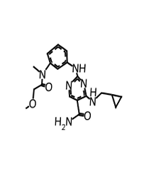 COCC(=O)N(C)c1cccc(Nc2ncc(C(N)=O)c(NCC3CC3)n2)c1